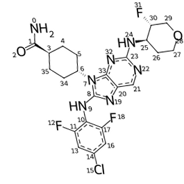 NC(=O)[C@H]1CC[C@H](n2c(Nc3c(F)cc(Cl)cc3F)nc3cnc(N[C@@H]4CCOC[C@H]4F)nc32)CC1